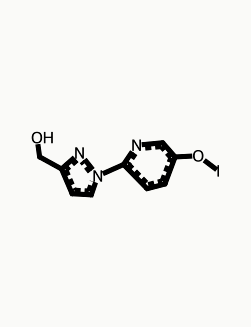 OCc1ccn(-c2ccc(OI)cn2)n1